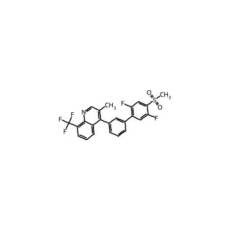 Cc1cnc2c(C(F)(F)F)cccc2c1-c1cccc(-c2cc(F)c(S(C)(=O)=O)cc2F)c1